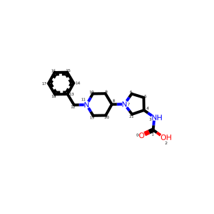 O=C(O)NC1CCN(C2CCN(Cc3ccccc3)CC2)C1